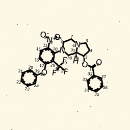 O=C(O[C@@H]1CCN2CCN(c3c([N+](=O)[O-])ccc(Oc4ccccc4)c3C(F)(F)F)C[C@@H]12)c1ccccc1